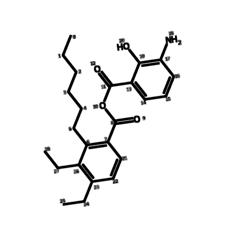 CCCCCCc1c(C(=O)OC(=O)c2cccc(N)c2O)ccc(CC)c1CC